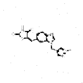 Cn1cc(Cn2cnc3ccc(/C=C4/SC(=O)NC4=O)cc32)cn1